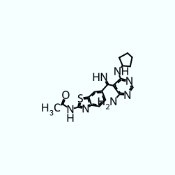 CC(=O)Nc1nc2ccc(C(=N)c3c(N)ncnc3NC3CCCC3)cc2s1